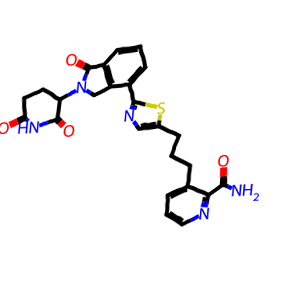 NC(=O)c1ncccc1CCCc1cnc(-c2cccc3c2CN(C2CCC(=O)NC2=O)C3=O)s1